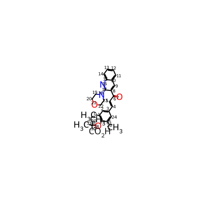 Cc1cc(/C=C/C(=O)c2cc3ccccc3nc2N2CCOCC2)cc(C)c1OC(C)(C)C(=O)O